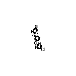 Clc1cnc(Oc2cccc(Oc3ncc(Cl)cn3)c2)nc1